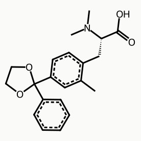 Cc1cc(C2(c3ccccc3)OCCO2)ccc1C[C@@H](C(=O)O)N(C)C